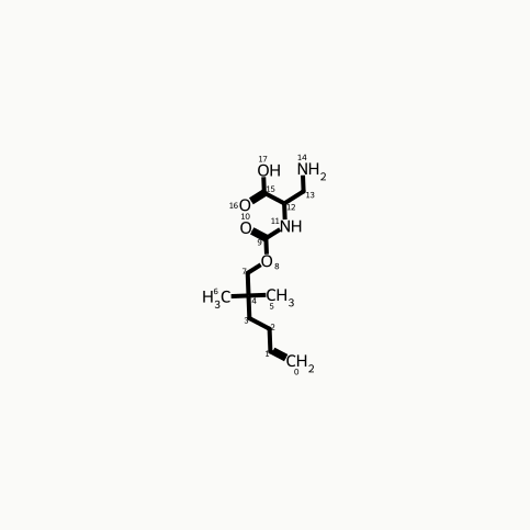 C=CCCC(C)(C)COC(=O)NC(CN)C(=O)O